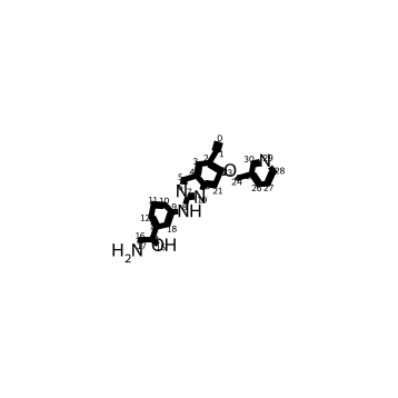 C#Cc1cc2cnc(Nc3cccc(C(O)CN)c3)nc2cc1OCc1cccnc1